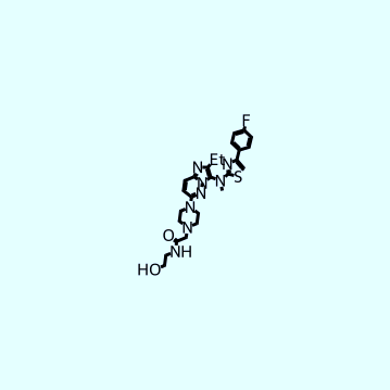 CCc1nc2ccc(N3CCN(CC(=O)NCCO)CC3)nn2c1N(C)c1nc(-c2ccc(F)cc2)cs1